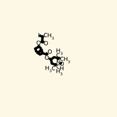 CC(I)C(=O)OC1CC2CC(C(=O)OC3CC(C)(C)N(O)C(C)(C)C3)C1C2